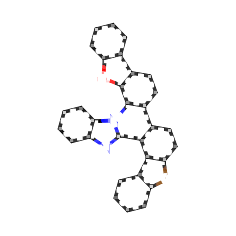 c1ccc2c(c1)nc1c3c(ccc4sc5ccccc5c43)c3ccc4c5ccccc5oc4c3n21